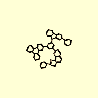 c1ccc(-c2ccc3c4ccccc4n(-c4cc(-c5ccc6c7ccccc7c7ccccc7c6c5)cc(-c5ccc6ccc7ccc(-c8ccccc8)nc7c6n5)c4)c3c2)cc1